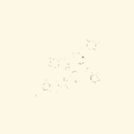 CCCc1nc(CN(C)C(=O)N[C@H](C(=O)N[C@@H](Cc2ccccc2)C[C@H](O)[C@H](Cc2ccccc2)NC(=O)OCc2cnco2)C(C)C)cs1